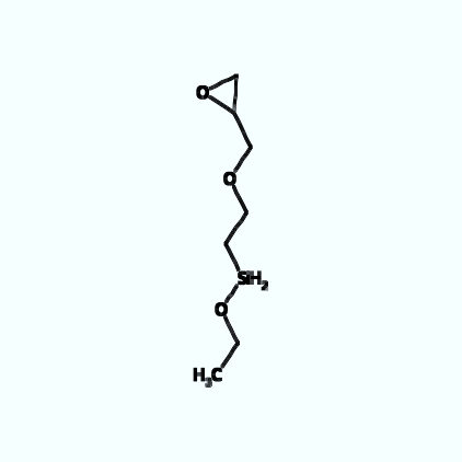 CCO[SiH2]CCOCC1CO1